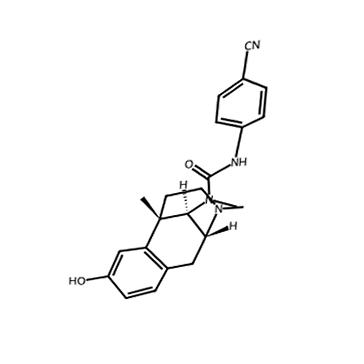 CN1CC[C@@]2(C)c3cc(O)ccc3C[C@@H]1[C@@H]2N(C)C(=O)Nc1ccc(C#N)cc1